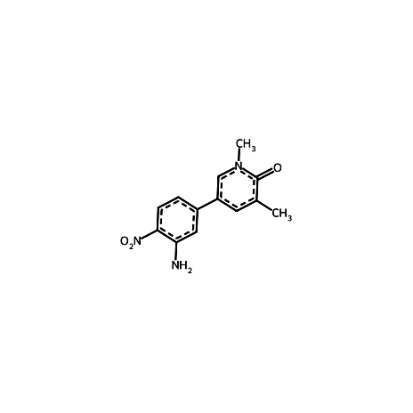 Cc1cc(-c2ccc([N+](=O)[O-])c(N)c2)cn(C)c1=O